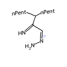 CCCCCC(CCCCC)C(=N)/C=N\N